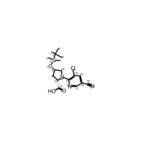 CC(C)(C)[Si](C)(C)O[C@@H]1C[C@@H](C(=O)O)N(c2ncc(C#N)cc2Cl)C1